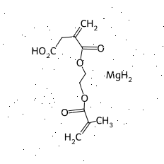 C=C(C)C(=O)OCCOC(=O)C(=C)CC(=O)O.[MgH2]